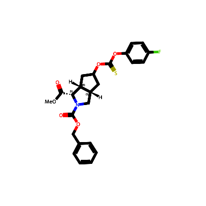 COC(=O)[C@@H]1[C@@H]2CC(OC(=S)Oc3ccc(F)cc3)C[C@@H]2CN1C(=O)OCc1ccccc1